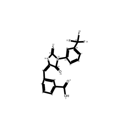 O=C(O)c1cccc(C=C2SC(=S)N(c3cccc(C(F)(F)F)c3)C2=O)c1